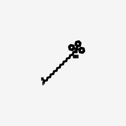 O[C@H](CCCCCCCCCCCCCCCCC(F)F)COC(c1ccccc1)(c1ccccc1)c1ccccc1